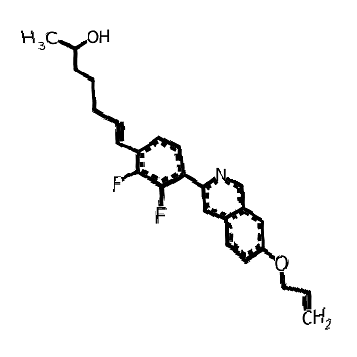 C=CCOc1ccc2cc(-c3ccc(C=CCCCC(C)O)c(F)c3F)ncc2c1